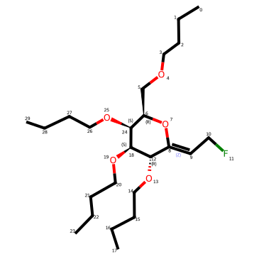 CCCCOC[C@H]1O/C(=C\CF)[C@H](OCCCC)[C@@H](OCCCC)[C@H]1OCCCC